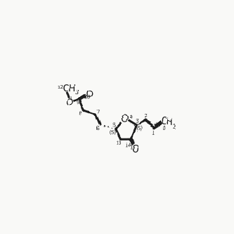 C=CC[C@@H]1O[C@@H](CCCC(=O)OC)CC1=O